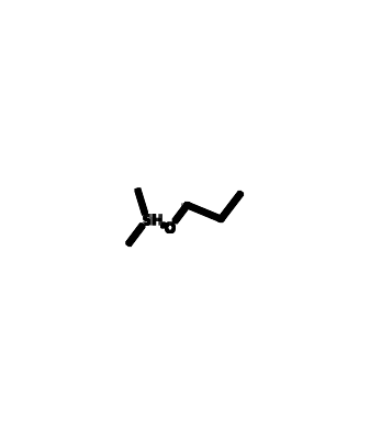 CC[CH]O[SiH](C)C